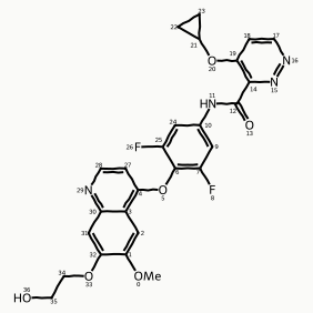 COc1cc2c(Oc3c(F)cc(NC(=O)c4nnccc4OC4CC4)cc3F)ccnc2cc1OCCO